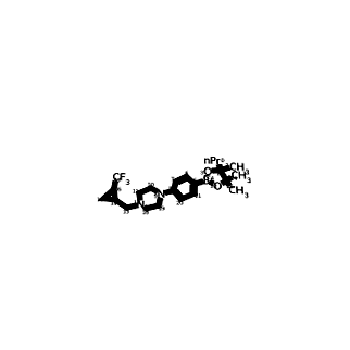 CCCC1(C)OB(c2ccc(N3CCN(CC4CC4C(F)(F)F)CC3)cc2)OC1(C)C